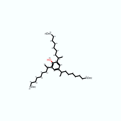 CCCCCCCCCCCCCCCCC(C)c1cc(C(C)CCCCCCCCCCCCCCCC)c(O)c(C(C)CCCCCCCCCCCCCCCC)c1